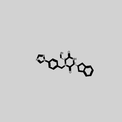 CC(C)C[C@@H]1C(=O)N[C@H](C2Cc3ccccc3C2)C(=O)N1Cc1ccc(-n2cncn2)cc1